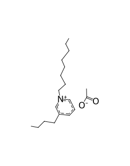 CC(=O)[O-].CCCCCCCC[n+]1cccc(CCCC)c1